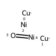 [Cu].[Cu].[Ni].[O]=[Ni]